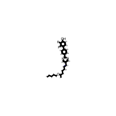 CCCCCOC(C)CCC/C=C/c1cnc(-c2ccc(-c3ccc(O)c(F)c3F)cc2)nc1